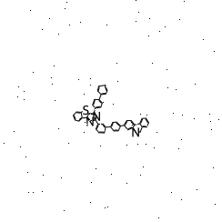 c1ccc(-c2ccc(-c3nc(-c4cccc(-c5ccc(-c6ccc7c(c6)ncc6ccccc67)cc5)c4)nc4c3sc3ccccc34)cc2)cc1